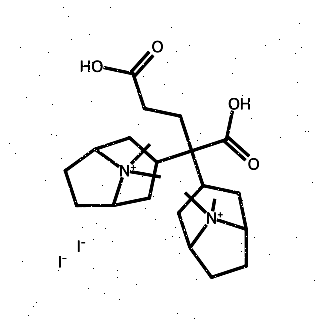 C[N+]1(C)C2CCC1CC(C(CCC(=O)O)(C(=O)O)C1CC3CCC(C1)[N+]3(C)C)C2.[I-].[I-]